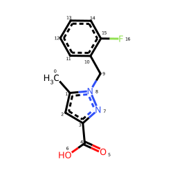 Cc1cc(C(=O)O)nn1Cc1ccccc1F